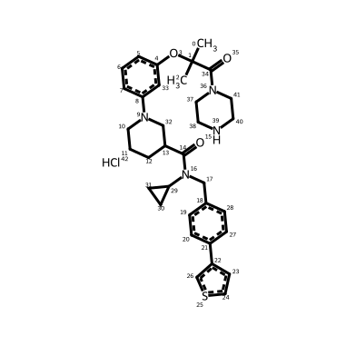 CC(C)(Oc1cccc(N2CCCC(C(=O)N(Cc3ccc(-c4ccsc4)cc3)C3CC3)C2)c1)C(=O)N1CCNCC1.Cl